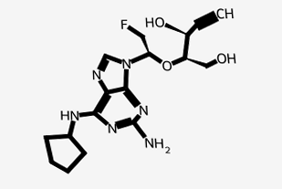 C#C[C@H](O)[C@@H](CO)O[C@H](CF)n1cnc2c(NC3CCCC3)nc(N)nc21